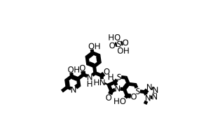 Cc1cc(O)c(C(=O)NC(C(=O)N[C@@H]2C(=O)N3C(C(=O)O)=C(CSc4nnnn4C)CS[C@H]23)c2ccc(O)cc2)cn1.O=S(=O)(O)O